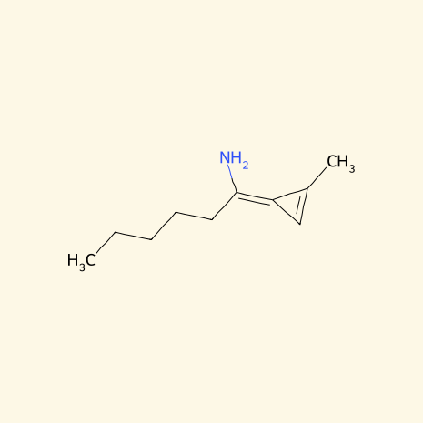 CCCCC/C(N)=C1C=C\1C